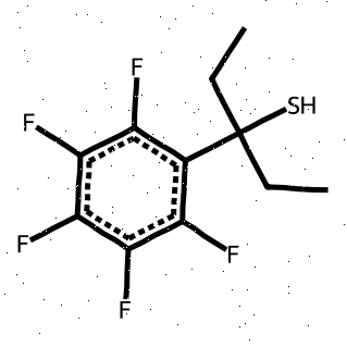 CCC(S)(CC)c1c(F)c(F)c(F)c(F)c1F